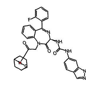 O=C(Nc1ccc2cn[nH]c2c1)N[C@@H]1N=C(c2ccccc2F)c2ccccc2N(CC(=O)N2CC3CCC(CC3)C2)C1=O